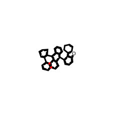 C1=Cc2oc3cccc(-c4c5ccccc5c(-c5ccccc5-c5ccccc5)c5ccccc45)c3c2CC1